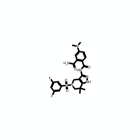 CN(C)c1ccc(C(=O)Nc2n[nH]c3c2CN(S(=O)(=O)c2cc(F)cc(F)c2)CC3(C)C)c(C(N)=O)c1